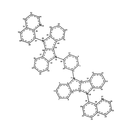 c1cc(-n2c3ccccc3c3c2c2ccccc2n3-c2cccc3cccnc23)cc(-n2c3ccccc3c3c2c2ccccc2n3-c2cccc3cccnc23)c1